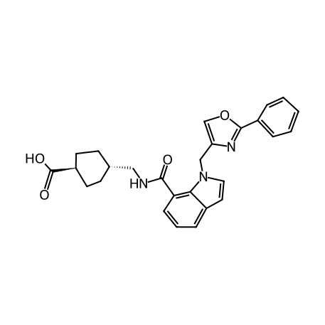 O=C(NC[C@H]1CC[C@H](C(=O)O)CC1)c1cccc2ccn(Cc3coc(-c4ccccc4)n3)c12